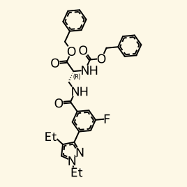 CCc1cn(CC)nc1-c1cc(F)cc(C(=O)NC[C@@H](NC(=O)OCc2ccccc2)C(=O)OCc2ccccc2)c1